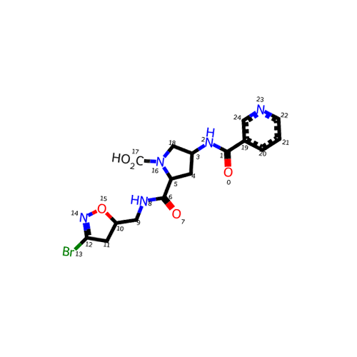 O=C(NC1CC(C(=O)NCC2CC(Br)=NO2)N(C(=O)O)C1)c1cccnc1